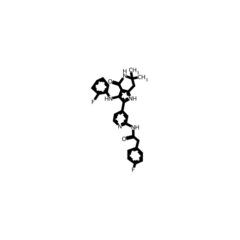 CC1(C)Cc2[nH]c(-c3ccnc(NC(=O)Cc4ccc(F)cc4)c3)c(Nc3ccccc3F)c2C(=O)N1